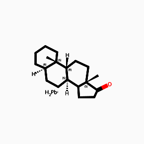 C[C@]12CCCC[C@@H]1CC[C@@H]1C3CCC(=O)[C@@]3(C)CC[C@H]12.[PbH2]